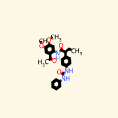 CCC(C(=O)Nc1cc(OC)c(OC)cc1C(C)=O)c1ccc(NC(=O)Nc2ccccc2)cc1